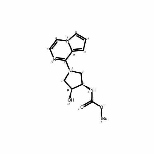 CC(C)(C)OC(=O)N[C@@H]1CN(c2nccn3cccc23)C[C@@H]1O